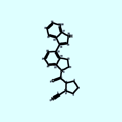 N#CN1CCCC1C(=O)N1CCc2c(-c3c[nH]c4ncccc34)cccc21